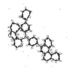 c1ccc(-c2ccc(N(c3ccc(-c4cc5ccc6ccccc6c5c5ccccc45)cc3)c3nccc4oc5ccccc5c34)cc2)cc1